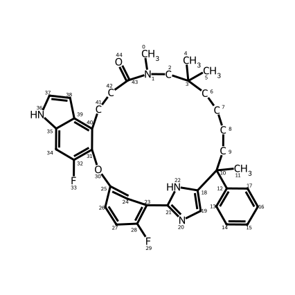 CN1CC(C)(C)CCCCC(C)(c2ccccc2)c2cnc([nH]2)-c2cc(ccc2F)Oc2c(F)cc3[nH]ccc3c2CCC1=O